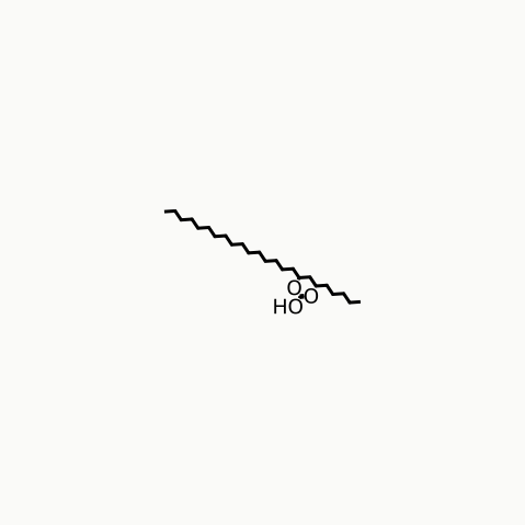 CCCCCCCCCCCCCCCCC(CCCCCCC)OC(=O)O